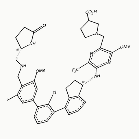 COc1cc(-c2cccc(-c3cccc4c3CC[C@@H]4Nc3nc(OC)c(CN4CCC(C(=O)O)C4)nc3C(F)(F)F)c2Cl)cc(F)c1CNC[C@@H]1CCC(=O)N1